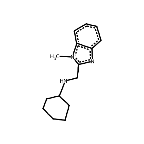 Cn1c(CNC2CCCCC2)nc2ccccc21